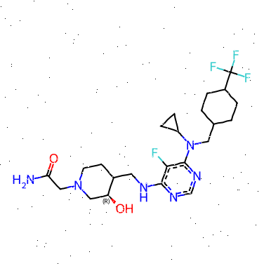 NC(=O)CN1CCC(CNc2ncnc(N(CC3CCC(C(F)(F)F)CC3)C3CC3)c2F)[C@@H](O)C1